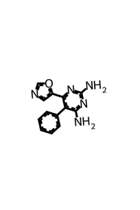 Nc1nc(N)c(-c2ccccc2)c(-c2cnco2)n1